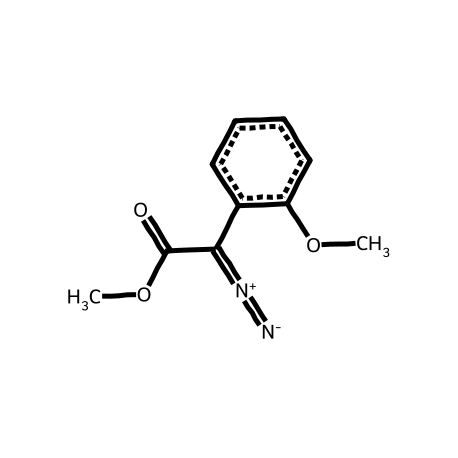 COC(=O)C(=[N+]=[N-])c1ccccc1OC